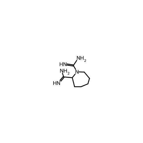 N=C(N)C1CCCCCN1C(=N)N